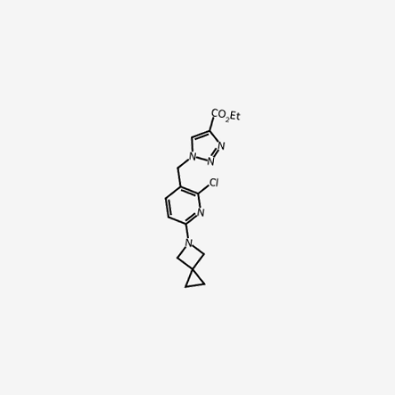 CCOC(=O)c1cn(Cc2ccc(N3CC4(CC4)C3)nc2Cl)nn1